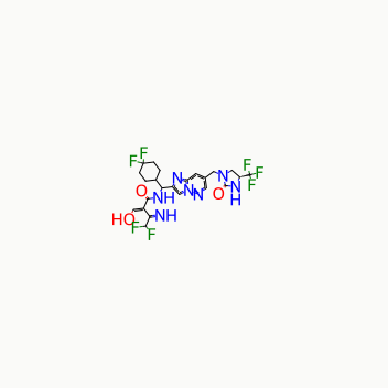 N=C(/C(=C\O)C(=O)N[C@H](c1cn2ncc(CN3C[C@@H](C(F)(F)F)NC3=O)cc2n1)C1CCC(F)(F)CC1)C(F)F